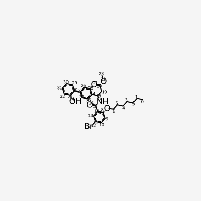 CCCCCCCOc1ccc(Br)cc1C(=O)NC(CC(=O)OC)c1ccc(-c2ccccc2O)cc1